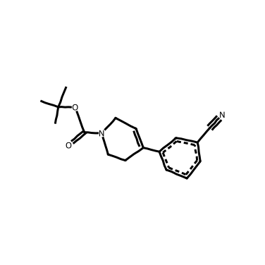 CC(C)(C)OC(=O)N1CC=C(c2cccc(C#N)c2)CC1